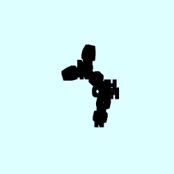 CN1CCN(c2ccc(NC(=O)Nc3ccc(-c4cc(N5CC6CCC(C5)O6)nc(N5CC6CCC(C5)O6)n4)cc3)cc2)CC1